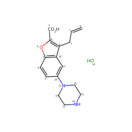 C=CCc1c(C(=O)O)oc2ccc(N3CCNCC3)cc12.Cl